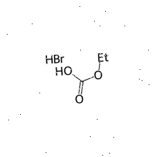 Br.CCOC(=O)O